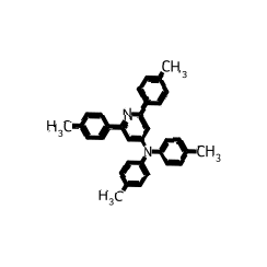 Cc1ccc(-c2cc(N(c3ccc(C)cc3)c3ccc(C)cc3)cc(-c3ccc(C)cc3)n2)cc1